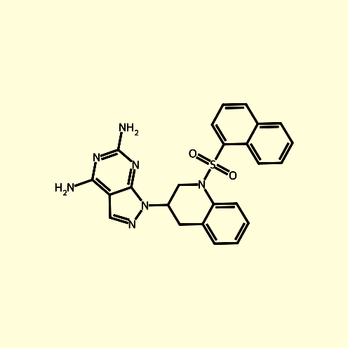 Nc1nc(N)c2cnn(C3Cc4ccccc4N(S(=O)(=O)c4cccc5ccccc45)C3)c2n1